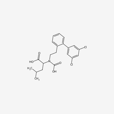 CC(C)CC(C(=O)O)N(CCc1ccccc1-c1cc(Cl)cc(Cl)c1)C(=O)O